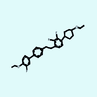 CCOc1ccc(-c2ccc(CCc3ccc(C4CCC(OCC)CC4)c(F)c3F)cc2)cc1F